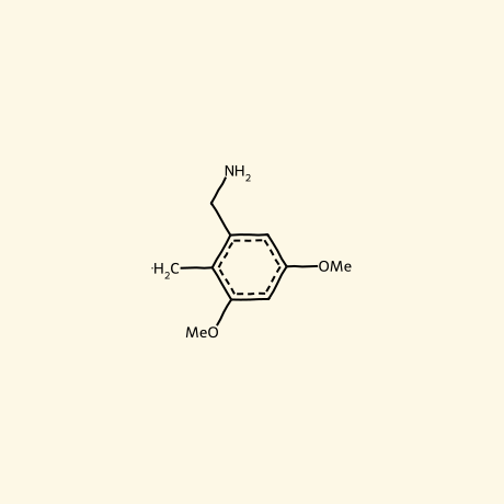 [CH2]c1c(CN)cc(OC)cc1OC